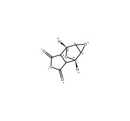 O=C1OC(=O)C2C1[C@@H]1O[C@H]2C2OC21